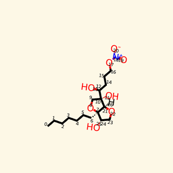 CCCCCCC[C@]12OC[C@@](O)(C(O)CCCO[N+](=O)[O-])[C@H]1OC[C@@H]2O